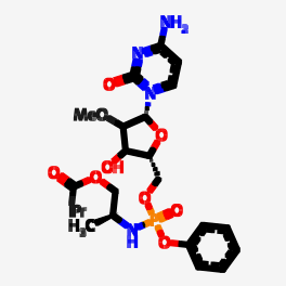 COC1C(O)[C@@H](COP(=O)(N[C@@H](C)COC(=O)C(C)C)Oc2ccccc2)O[C@H]1n1ccc(N)nc1=O